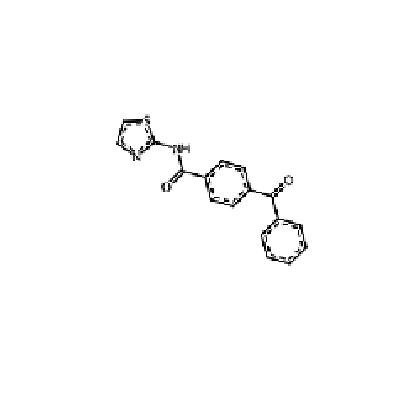 O=C(Nc1nccs1)c1ccc(C(=O)c2ccccc2)cc1